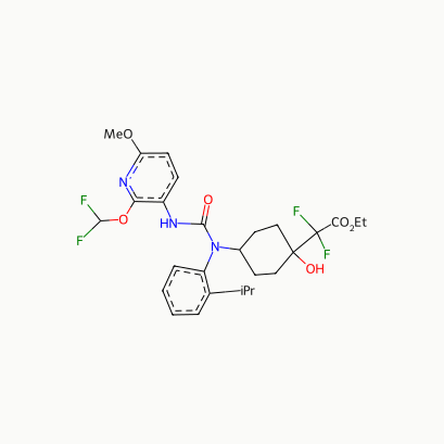 CCOC(=O)C(F)(F)C1(O)CCC(N(C(=O)Nc2ccc(OC)nc2OC(F)F)c2ccccc2C(C)C)CC1